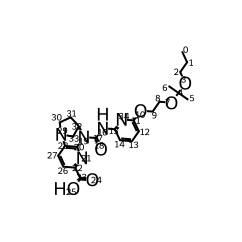 CCCOC(C)(C)OCCOc1cccc(NC(=O)N2c3nc(C(=O)O)ccc3N3CCC2C3)n1